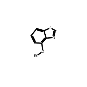 CCOc1cccc2s[c]nc12